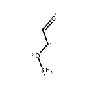 O=[C]CO[SiH3]